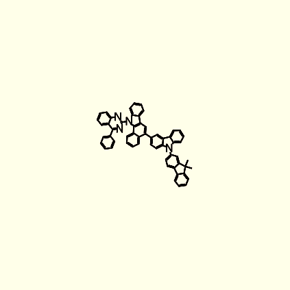 CC1(C)c2ccccc2-c2ccc(-n3c4ccccc4c4cc(-c5cc6c7ccccc7n(-c7nc(-c8ccccc8)c8ccccc8n7)c6c6ccccc56)ccc43)cc21